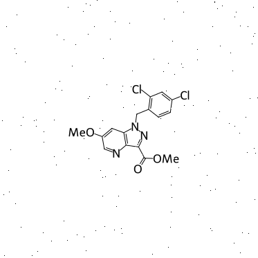 COC(=O)c1nn(Cc2ccc(Cl)cc2Cl)c2cc(OC)cnc12